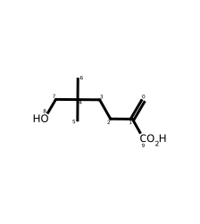 C=C(CCC(C)(C)CO)C(=O)O